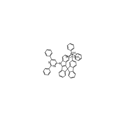 CC(C)(C)c1ccc2c(c1)C1(c3ccccc3-2)c2ccccc2-c2c1c1cc(N(c3ccccc3)c3ccccc3)ccc1n2-c1cc(-c2ccccc2)nc(-c2ccccc2)n1